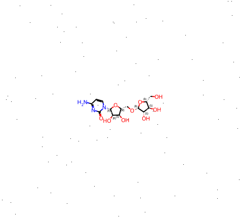 Nc1ccn([C@@H]2O[C@H](CO[C@@H]3O[C@H](CO)[C@@H](O)[C@@H]3O)[C@@H](O)[C@H]2O)c(=O)n1